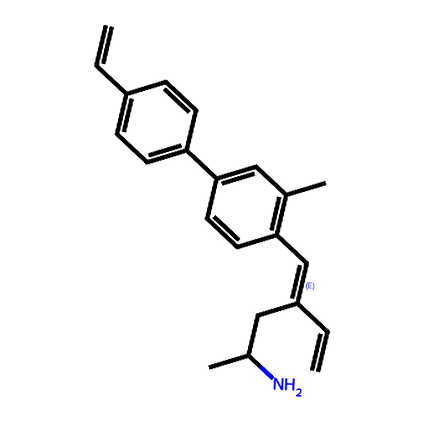 C=C/C(=C/c1ccc(-c2ccc(C=C)cc2)cc1C)CC(C)N